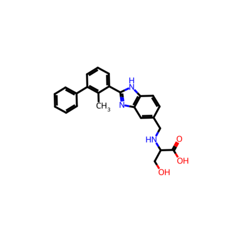 Cc1c(-c2ccccc2)cccc1-c1nc2cc(CNC(CO)C(=O)O)ccc2[nH]1